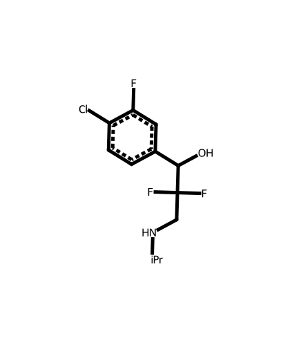 CC(C)NCC(F)(F)C(O)c1ccc(Cl)c(F)c1